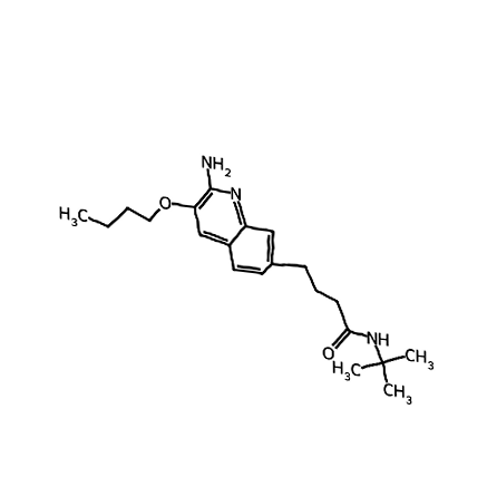 CCCCOc1cc2ccc(CCCC(=O)NC(C)(C)C)cc2nc1N